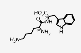 NCCCC[C@H](N)C(=O)N[C@@H](Cc1c[nH]c2ccccc12)C(=O)O